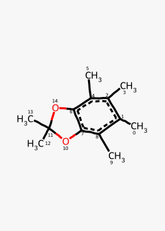 Cc1c(C)c(C)c2c(c1C)OC(C)(C)O2